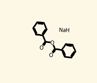 O=C(OC(=O)c1ccccc1)c1ccccc1.[NaH]